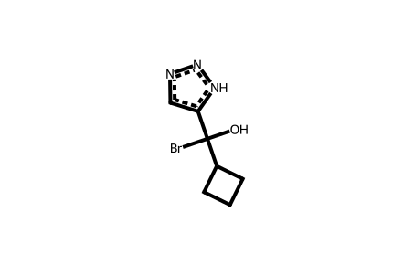 OC(Br)(c1cnn[nH]1)C1CCC1